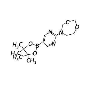 CC1(C)OB(c2cnc(N3CCCOCC3)nc2)OC1(C)C